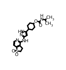 CC(C)NC(=O)OC1CCC(c2cc(Nc3nccc4c3CCS4(=O)=O)n[nH]2)CC1